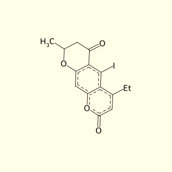 CCc1cc(=O)oc2cc3c(c(I)c12)C(=O)CC(C)O3